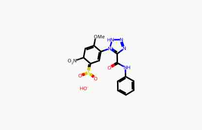 COC1=CC([N+](=O)[O-])C(=S(=O)=O)C=C1[n+]1[nH]nnc1C(=O)Nc1ccccc1.[OH-]